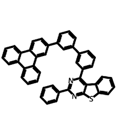 c1ccc(-c2nc(-c3cccc(-c4cccc(-c5ccc6c7ccccc7c7ccccc7c6c5)c4)c3)c3c(n2)sc2ccccc23)cc1